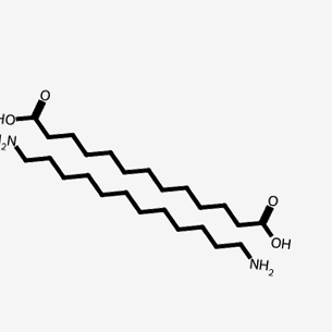 NCCCCCCCCCCCCN.O=C(O)CCCCCCCCCCCC(=O)O